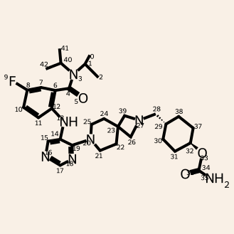 CC(C)N(C(=O)c1cc(F)ccc1Nc1cncnc1N1CCC2(CC1)CN(C[C@H]1CC[C@H](OC(N)=O)CC1)C2)C(C)C